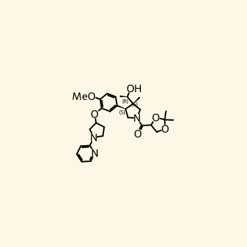 COc1ccc([C@@H]2CN(C(=O)C3COC(C)(C)O3)C[C@@]2(C)[C@@H](C)O)cc1OC1CCN(c2ccccn2)C1